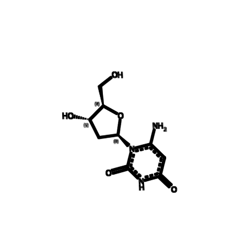 Nc1cc(=O)[nH]c(=O)n1[C@H]1C[C@H](O)[C@@H](CO)O1